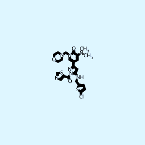 CN(C)c1cc(-c2cc(NCc3ccc(Cl)s3)n(C(=O)c3cncs3)n2)cn(CN2CCOCC2)c1=O